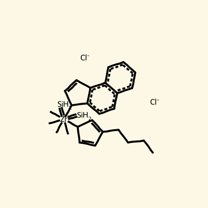 CCCCC1=C[CH]([Zr]([CH3])([CH3])([CH3])([CH3])(=[SiH2])(=[SiH2])[CH]2C=Cc3c2ccc2ccccc32)C=C1.[Cl-].[Cl-]